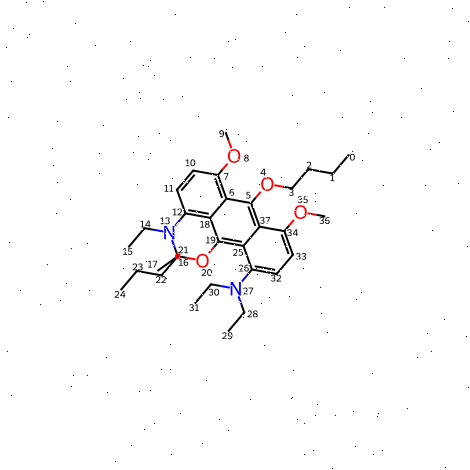 CCCCOc1c2c(OC)ccc(N(CC)CC)c2c(OCCCC)c2c(N(CC)CC)ccc(OC)c12